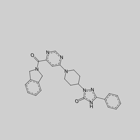 O=C(c1cc(N2CCC(n3nc(-c4ccccc4)[nH]c3=O)CC2)ncn1)N1Cc2ccccc2C1